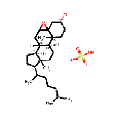 CC(C)CCCC(C)[C@H]1CC[C@H]2[C@@H]3CC4OC45C[C@@H](O)CC[C@]5(C)[C@H]3CC[C@]12C.O=S(=O)(O)O